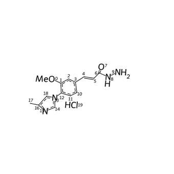 COc1cc(/C=C/C(=O)NN)ccc1-n1cnc(C)c1.Cl